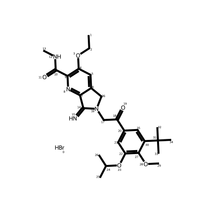 Br.CCOc1cc2c(nc1C(=O)NC)C(=N)N(CC(=O)c1cc(OC(C)C)c(OC)c(C(C)(C)C)c1)C2